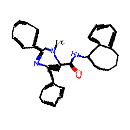 CCn1c(-c2ccccc2)nc(-c2ccccc2)c1C(=O)NC1CCCCc2ccccc21